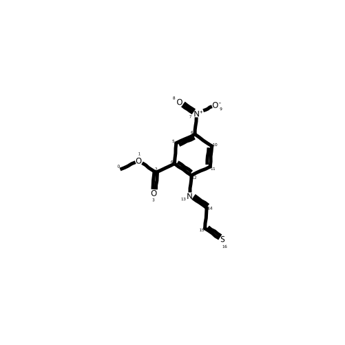 COC(=O)c1cc([N+](=O)[O-])ccc1N=CC=S